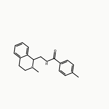 Cc1ccc(C(=O)NCC2c3ccccc3CCN2C)cc1